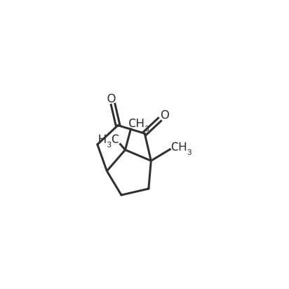 CC12CCC(CC(=O)C1=O)C2(C)C